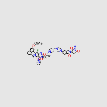 C#Cc1cccc2cc(OCOC)cc(-c3ncc4c(N5CC6CCC(C5)N6C(=O)OC(C)(C)C)nc(OCC5(CN6CCC(CN7CCN(c8ccc9c(c8)CN([C@H]8CCC(=O)NC8=O)C9=O)CC7)CC6)CC5)nc4c3F)c12